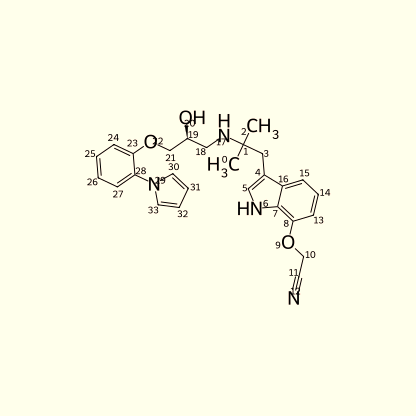 CC(C)(Cc1c[nH]c2c(OCC#N)cccc12)NC[C@H](O)COc1ccccc1-n1cccc1